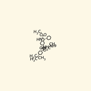 CCOC(=O)c1[nH]c2ccc(NS(=O)(=O)c3ccc(C(C)(C)C)cc3)cc2c1-c1ccccc1.CNC